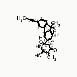 CC#Cc1ccc2c(c1)-c1cc(C3(C)CC(=O)N(C)C(=N)N3)ccc1C2(C)C